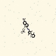 CC(=O)[O-].Cc1cccnc1-n1c(C)cc(/C=C/c2ccc3cc(N(C)C)ccc3[n+]2C)c1C